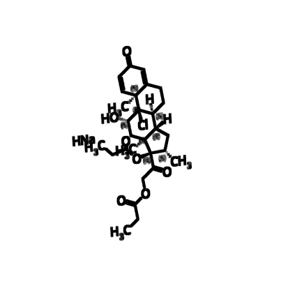 CCC(=O)OCC(=O)[C@@]1(OC(=O)CC)[C@@H](C)C[C@H]2[C@@H]3CCC4=CC(=O)C=C[C@]4(C)[C@@]3(Cl)[C@@H](O)C[C@@]21C.[NaH]